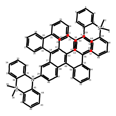 C[Si]1(C)c2ccccc2N(c2ccc3c(-c4ccccc4-c4ccccc4)c4cc(N5c6ccccc6[Si](C)(C)c6ccccc65)ccc4c(-c4ccccc4-c4ccccc4)c3c2)c2ccccc21